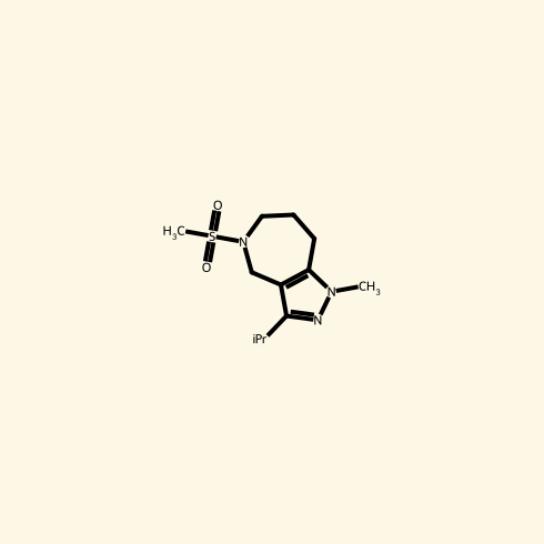 CC(C)c1nn(C)c2c1CN(S(C)(=O)=O)CCC2